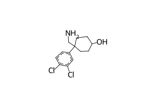 NCC1(c2ccc(Cl)c(Cl)c2)CCC(O)CC1